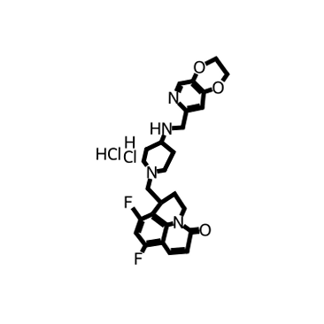 Cl.Cl.O=c1ccc2c(F)cc(F)c3c2n1CCC3CN1CCC(NCc2cc3c(cn2)OCCO3)CC1